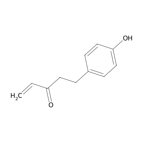 C=CC(=O)CCc1ccc(O)cc1